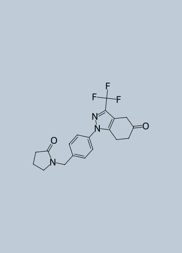 O=C1CCc2c(c(C(F)(F)F)nn2-c2ccc(CN3CCCC3=O)cc2)C1